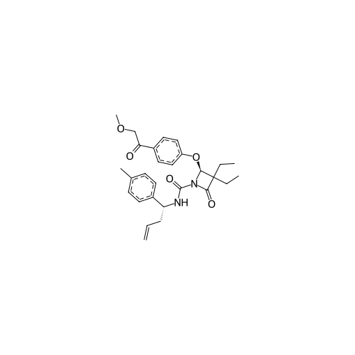 C=CC[C@@H](NC(=O)N1C(=O)C(CC)(CC)[C@@H]1Oc1ccc(C(=O)COC)cc1)c1ccc(C)cc1